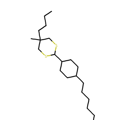 CCCCCCC1CCC(C2SCC(C)(CCCC)CS2)CC1